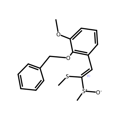 COc1cccc(/C=C(\SC)[S+](C)[O-])c1OCc1ccccc1